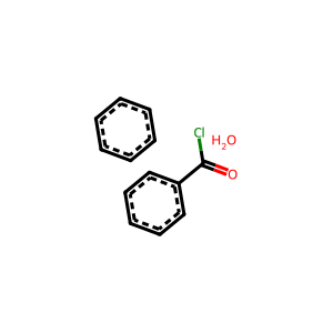 O.O=C(Cl)c1ccccc1.c1ccccc1